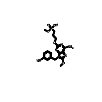 COc1nc2c(N)nc(OCCCP(=O)(O)OC)nc2n1Cc1cccc(O)c1